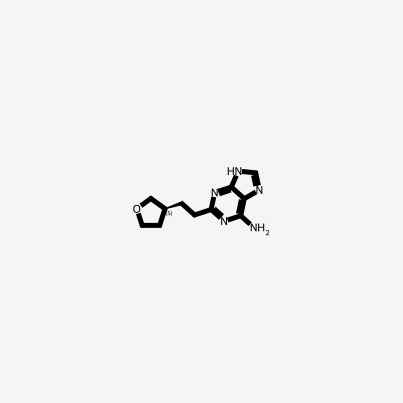 Nc1nc(CC[C@H]2CCOC2)nc2[nH]cnc12